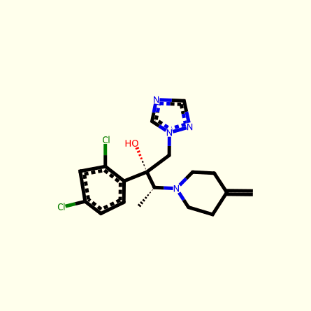 C=C1CCN([C@H](C)[C@](O)(Cn2cncn2)c2ccc(Cl)cc2Cl)CC1